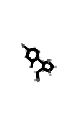 Cc1cc(F)ccc1-c1ocnc1C=O